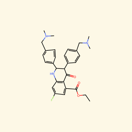 CCOC(=O)c1cc(F)cc2c1C(=O)C(c1ccc(CN(C)C)cc1)C(c1ccc(CN(C)C)cc1)N2